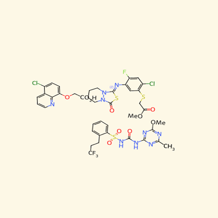 COC(=O)CSc1cc(/N=c2\sc(=O)n3n2CCCC3)c(F)cc1Cl.COc1nc(C)nc(NC(=O)NS(=O)(=O)c2ccccc2CCC(F)(F)F)n1.O=C(O)COc1ccc(Cl)c2cccnc12